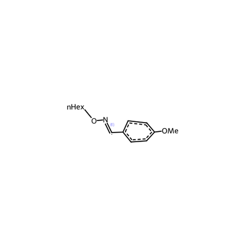 CCCCCCO/N=[C]/c1ccc(OC)cc1